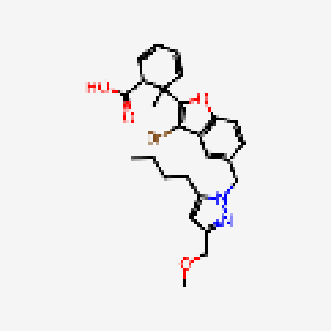 CCCCc1cc(COC)nn1Cc1ccc2oc(C3(C)C=CC=CC3C(=O)O)c(Br)c2c1